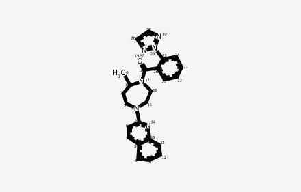 CC1CCN(c2ccc3ccccc3n2)CCN1C(=O)c1ccccc1-n1nccn1